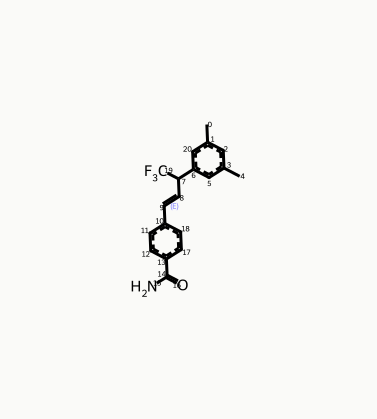 Cc1cc(C)cc(C(/C=C/c2ccc(C(N)=O)cc2)C(F)(F)F)c1